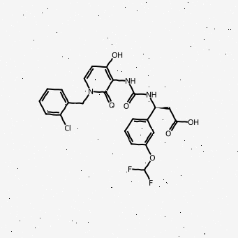 O=C(O)C[C@H](NC(=O)Nc1c(O)ccn(Cc2ccccc2Cl)c1=O)c1cccc(OC(F)F)c1